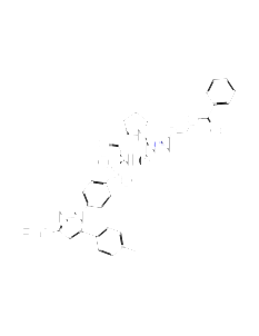 Cc1ccc(-c2cc(C(F)(F)F)nn2-c2ccc(S(=O)(=O)NC(=O)[C@@H]3CCCN3/[N+]([O-])=N\OCOC(=O)c3ccccc3)cc2)cc1